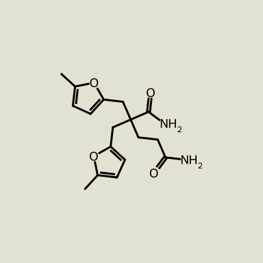 Cc1ccc(CC(CCC(N)=O)(Cc2ccc(C)o2)C(N)=O)o1